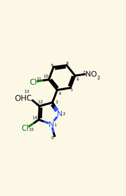 Cn1nc(-c2cc([N+](=O)[O-])ccc2Cl)c(C=O)c1Cl